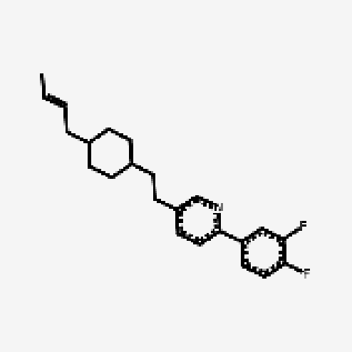 C/C=C/CC1CCC(CCc2ccc(-c3ccc(F)c(F)c3)nc2)CC1